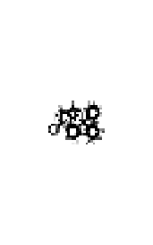 Clc1ncc2ccn(C(c3ccccc3)(c3ccccc3)c3ccccc3)c2n1